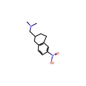 CN(C)CC1CCc2cc([N+](=O)O)ccc2C1